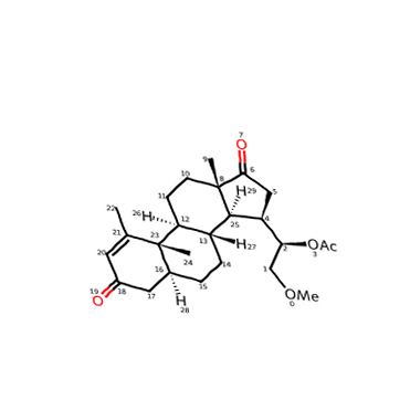 COC[C@H](OC(C)=O)[C@@H]1CC(=O)[C@@]2(C)CC[C@H]3[C@@H](CC[C@H]4CC(=O)C=C(C)[C@@]43C)[C@H]12